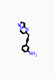 Nc1cccc(C#CCc2ccn3nccc3n2)c1